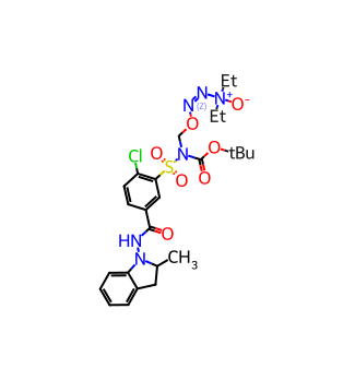 CC[N+]([O-])(CC)/N=N\OCN(C(=O)OC(C)(C)C)S(=O)(=O)c1cc(C(=O)NN2c3ccccc3CC2C)ccc1Cl